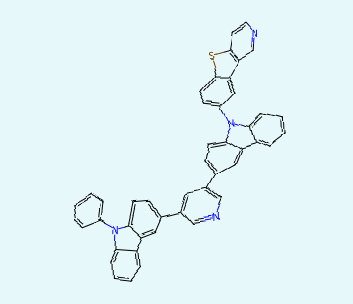 c1ccc(-n2c3ccccc3c3cc(-c4cncc(-c5ccc6c(c5)c5ccccc5n6-c5ccc6sc7ccncc7c6c5)c4)ccc32)cc1